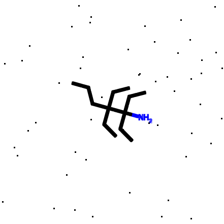 CCCC(CC)(CC)C(N)(CC)CC